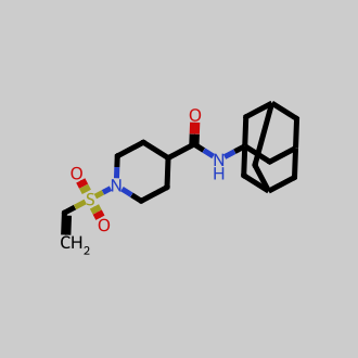 C=CS(=O)(=O)N1CCC(C(=O)NC23CC4CC(CC(C4)C2)C3)CC1